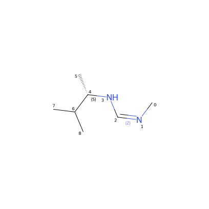 C/N=C\N[C@@H](C)C(C)C